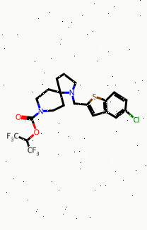 O=C(OC(C(F)(F)F)C(F)(F)F)N1CCC2(CCCN2Cc2cc3cc(Cl)ccc3s2)CC1